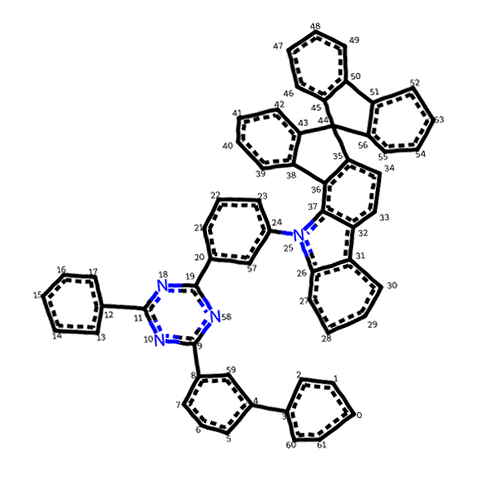 c1ccc(-c2cccc(-c3nc(-c4ccccc4)nc(-c4cccc(-n5c6ccccc6c6ccc7c(c65)-c5ccccc5C75c6ccccc6-c6ccccc65)c4)n3)c2)cc1